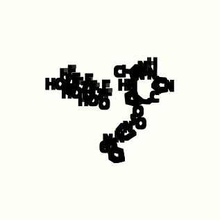 O=C(COc1ccc2cc1CCc1cncc(c1)Nc1ncc(Cl)c(n1)N2)N1CCN(c2noc3ccccc23)CC1.O=C(O)C(F)(F)F.O=C(O)C(F)(F)F.O=C(O)C(F)(F)F